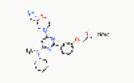 CNCC(O)COc1cccc(-c2nc(N3CCO[C@H](CN)C3)cc(N(C)C3CCCCC3)n2)c1